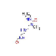 CCNC(=O)N(C)CCNCCNC=O